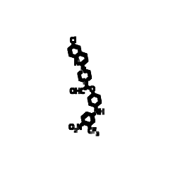 O=CC(OC1CCC(Nc2ccc([N+](=O)[O-])c(C(F)(F)F)c2)CC1)N1CCN(c2ccc3cc(Cl)ccc3n2)CC1